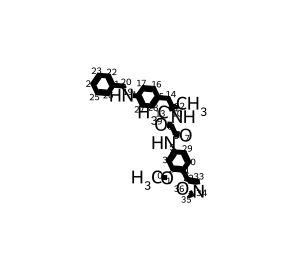 COc1cc(NC(=O)C(=O)NC(C)(C)Cc2ccc(NCc3ccccc3)cc2)ccc1-c1cnco1